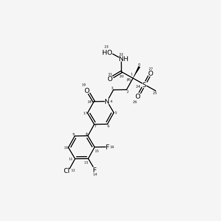 C[C@@](CCn1ccc(-c2ccc(Cl)c(F)c2F)cc1=O)(C(=O)NO)S(C)(=O)=O